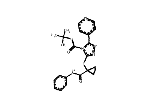 CC(C)(C)OC(=O)n1c(SC2(C(=O)Nc3ccccc3)CC2)nnc1-c1ccncc1